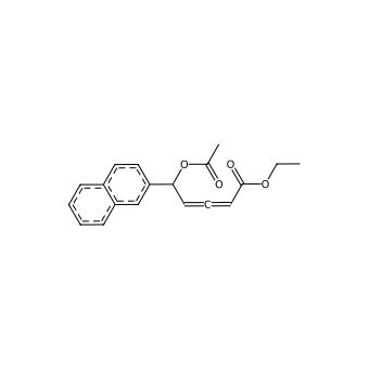 CCOC(=O)C=C=CC(OC(C)=O)c1ccc2ccccc2c1